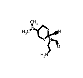 CN(C)C1CSC(C#N)(N(C=O)CCN)SC1